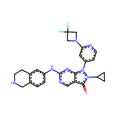 O=c1c2cnc(Nc3ccc4c(c3)CCNC4)nc2n(-c2ccnc(N3CC(F)(F)C3)c2)n1C1CC1